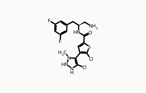 CN1NNC(Cl)=C1c1cc(C(=O)N[C@H](CN)Cc2cc(F)cc(F)c2)sc1Cl